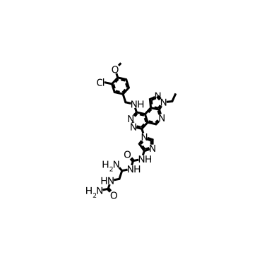 CCn1ncc2c3c(NCc4ccc(OC)c(Cl)c4)nnc(-n4cnc(NC(=O)NC(N)CNC(N)=O)c4)c3cnc21